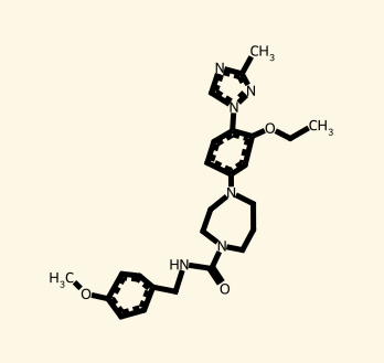 CCOc1cc(N2CCCN(C(=O)NCc3ccc(OC)cc3)CC2)ccc1-n1cnc(C)n1